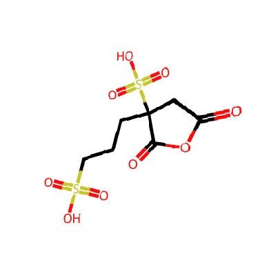 O=C1CC(CCCS(=O)(=O)O)(S(=O)(=O)O)C(=O)O1